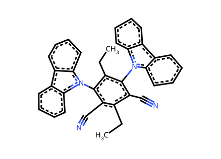 CCc1c(C#N)c(-n2c3ccccc3c3ccccc32)c(CC)c(-n2c3ccccc3c3ccccc32)c1C#N